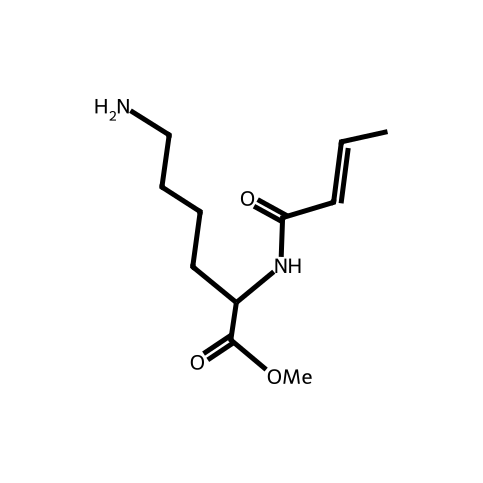 CC=CC(=O)NC(CCCCN)C(=O)OC